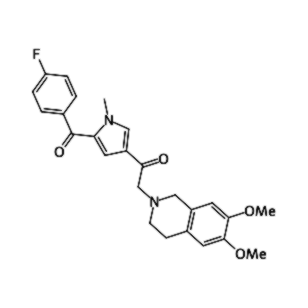 COc1cc2c(cc1OC)CN(CC(=O)c1cc(C(=O)c3ccc(F)cc3)n(C)c1)CC2